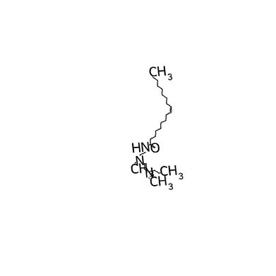 CCCCCCCC/C=C\CCCCCCCC(=O)NCCN(CC)CCN(CC)CCC